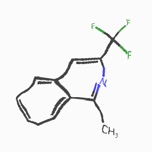 Cc1nc(C(F)(F)F)cc2ccccc12